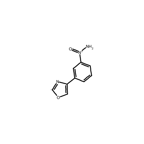 N[N+](=O)c1cccc(-c2co[c]n2)c1